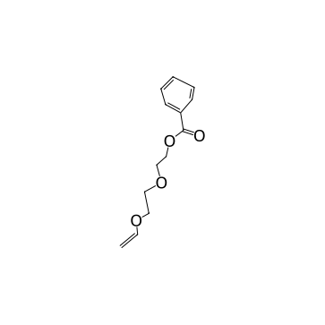 C=COCCOCCOC(=O)c1ccccc1